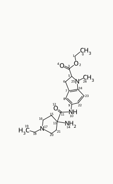 CCOC(=O)C1Cc2cc(NC(=O)C3(N)CCN(CC)CC3)ccc2N1C